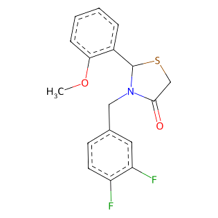 COc1ccccc1C1SCC(=O)N1Cc1ccc(F)c(F)c1